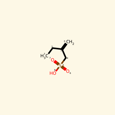 C=C(CC)CS(=O)(=O)O